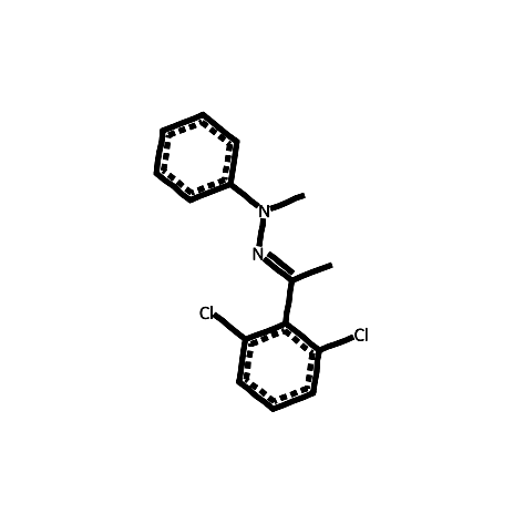 CC(=NN(C)c1ccccc1)c1c(Cl)cccc1Cl